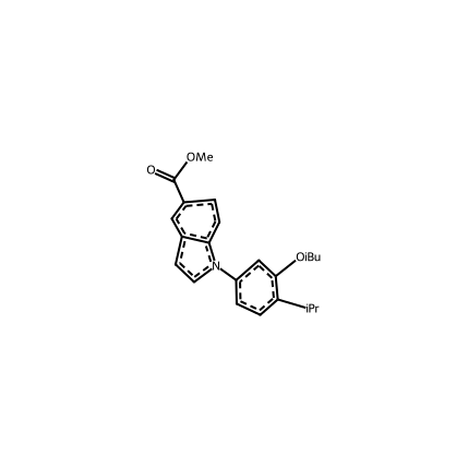 COC(=O)c1ccc2c(ccn2-c2ccc(C(C)C)c(OCC(C)C)c2)c1